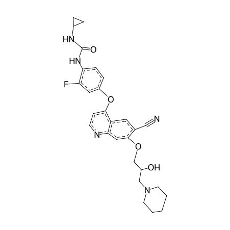 N#Cc1cc2c(Oc3ccc(NC(=O)NC4CC4)c(F)c3)ccnc2cc1OCC(O)CN1CCCCC1